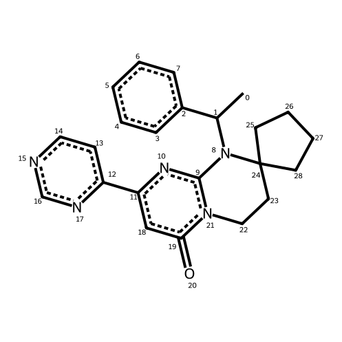 CC(c1ccccc1)N1c2nc(-c3ccncn3)cc(=O)n2CCC12CCCC2